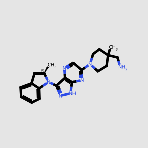 C[C@@H]1Cc2ccccc2N1c1n[nH]c2nc(N3CCC(C)(CN)CC3)cnc12